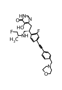 C[C@H](CF)NC[C@@H](Cc1nc[nH]c(=O)c1O)c1ccc(C#Cc2ccc(CN3CCOCC3)cc2)cc1F